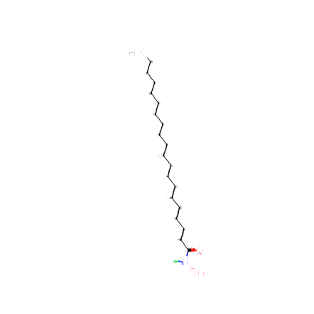 CCCCCCCCCCCCCCCCCCCC(=O)N(O)Cl